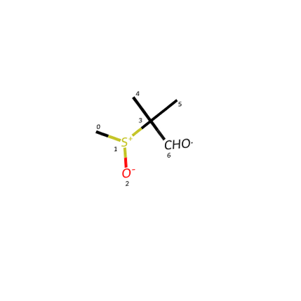 C[S+]([O-])C(C)(C)[C]=O